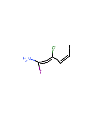 C/C=C\C(Cl)=C(\N)I